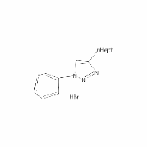 Br.CCCCCCCc1cn(-c2ccccc2)nn1